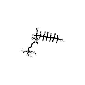 C[N+](C)(C)CCCN(F)S(=O)(=O)C(F)(F)C(F)(F)C(F)(F)C(F)(F)C(F)(F)C(F)(F)C(F)(F)C(F)(F)F.[Cl-]